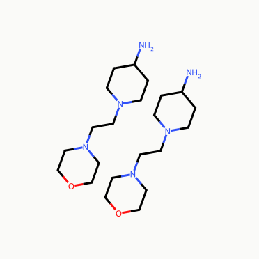 NC1CCN(CCN2CCOCC2)CC1.NC1CCN(CCN2CCOCC2)CC1